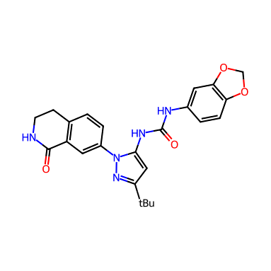 CC(C)(C)c1cc(NC(=O)Nc2ccc3c(c2)OCO3)n(-c2ccc3c(c2)C(=O)NCC3)n1